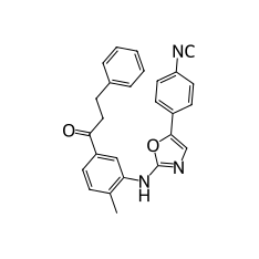 [C-]#[N+]c1ccc(-c2cnc(Nc3cc(C(=O)CCc4ccccc4)ccc3C)o2)cc1